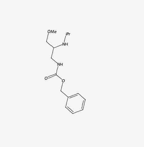 COCC(CNC(=O)OCc1ccccc1)NC(C)C